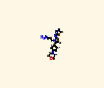 NCCCn1c(-c2ccc(N3CCOCC3)cc2)cs/c1=N\c1nccs1